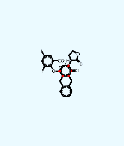 O=C(O)c1cc(I)cc(I)c1OC(=O)C1C2c3ccccc3C(c3ccccc32)C1C(=O)OC1CCOC1=O